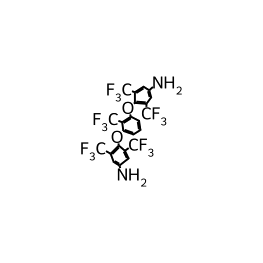 Nc1cc(C(F)(F)F)c(Oc2cccc(Oc3c(C(F)(F)F)cc(N)cc3C(F)(F)F)c2C(F)(F)F)c(C(F)(F)F)c1